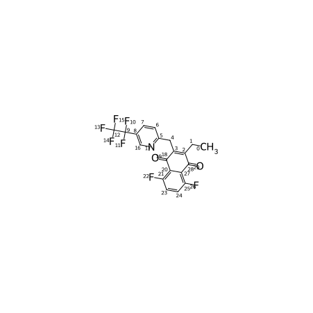 CCC1=C(Cc2ccc(C(F)(F)C(F)(F)F)cn2)C(=O)c2c(F)ccc(F)c2C1=O